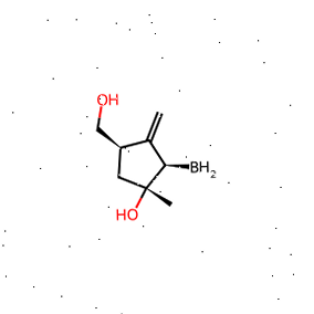 B[C@@H]1C(=C)[C@H](CO)C[C@@]1(C)O